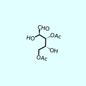 CC(=O)OC[C@@H](O)[C@@H](OC(C)=O)[C@@H](O)C=O